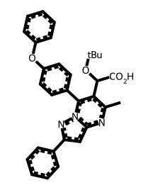 Cc1nc2cc(-c3ccccc3)nn2c(-c2ccc(Oc3ccccc3)cc2)c1C(OC(C)(C)C)C(=O)O